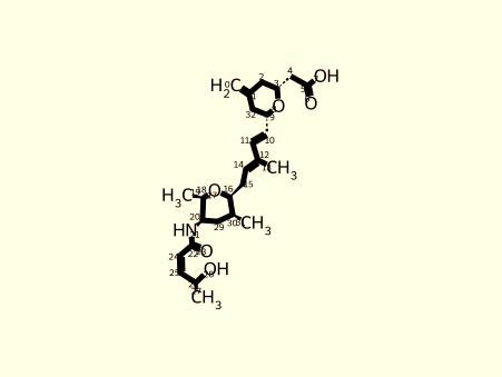 C=C1C[C@H](CC(=O)O)O[C@H](/C=C/C(C)=C/C[C@@H]2O[C@H](C)[C@H](NC(=O)/C=C\[C@H](C)O)C[C@@H]2C)C1